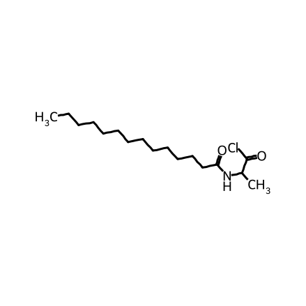 CCCCCCCCCCCCCC(=O)NC(C)C(=O)Cl